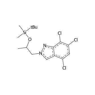 CC(Cn1cc2c(Cl)cc(Cl)c(Cl)c2n1)O[Si](C)(C)C(C)(C)C